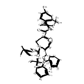 CC(C)(C)OC(=O)N1C[C@@H](C(=O)NC(C)(C)c2ccc(F)cc2C(F)(F)F)OC[C@H]1CO[Si](c1ccccc1)(c1ccccc1)C(C)(C)C